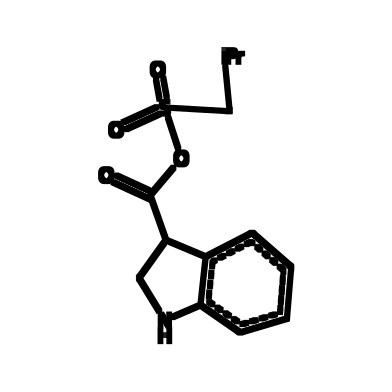 CC(C)CS(=O)(=O)OC(=O)C1CNc2ccccc21